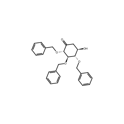 O=C1C[C@@H](O)[C@H](OCc2ccccc2)[C@@H](OCc2ccccc2)[C@@H]1OCc1ccccc1